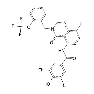 O=C(Nc1ccc(F)c2ncn(Cc3ccccc3OC(F)(F)F)c(=O)c12)c1cc(Cl)c(O)c(Cl)c1